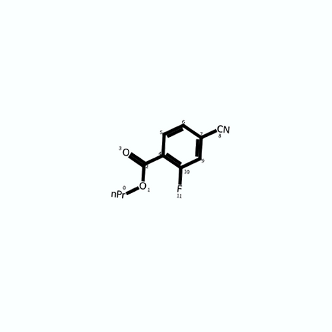 CCCOC(=O)c1ccc(C#N)cc1F